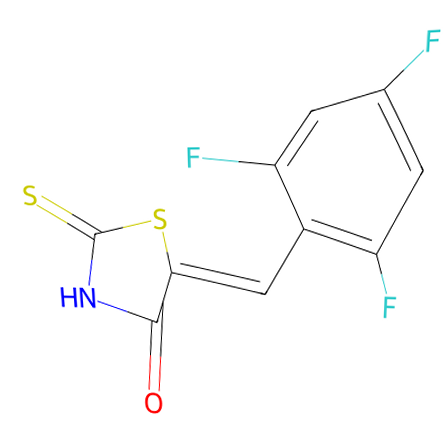 O=C1NC(=S)SC1=Cc1c(F)cc(F)cc1F